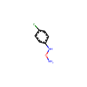 NONc1ccc(F)cc1